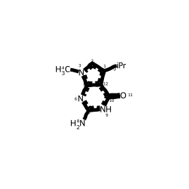 CC(C)c1cn(C)c2nc(N)[nH]c(=O)c12